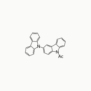 CC(=O)n1c2ccccc2c2cc(-n3c4ccccc4c4ccccc43)ccc21